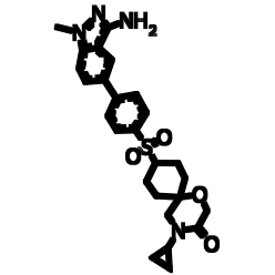 Cn1nc(N)c2cc(-c3ccc(S(=O)(=O)C4CCC5(CC4)CN(C4CC4)C(=O)CO5)cc3)ccc21